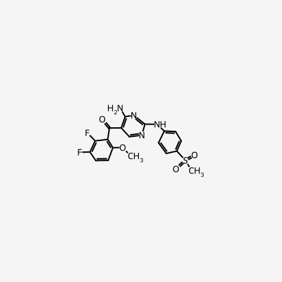 COc1ccc(F)c(F)c1C(=O)c1cnc(Nc2ccc(S(C)(=O)=O)cc2)nc1N